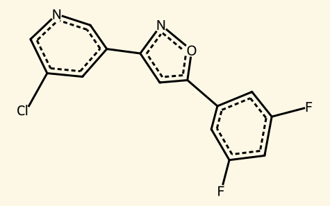 Fc1cc(F)cc(-c2cc(-c3cncc(Cl)c3)no2)c1